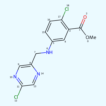 COC(=O)c1cc(NCc2cnc(Cl)cn2)ccc1Cl